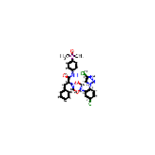 CP(C)(=O)c1ccc(NC(=O)C(Cc2ccccc2)N2CON(c3cc(Cl)ccc3-n3cc(Cl)nn3)CO2)cc1